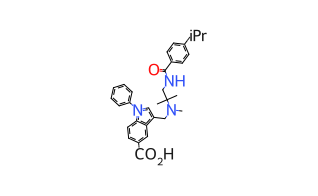 CC(C)c1ccc(C(=O)NCC(C)(C)N(C)Cc2cn(-c3ccccc3)c3ccc(C(=O)O)cc23)cc1